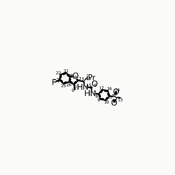 Cc1c([C@H](NC(=O)Nc2ccc(S(C)(=O)=O)cc2)C(C)C)oc2ccc(F)cc12